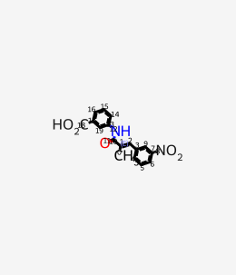 C/C(=C\c1cccc([N+](=O)[O-])c1)C(=O)Nc1cccc(C(=O)O)c1